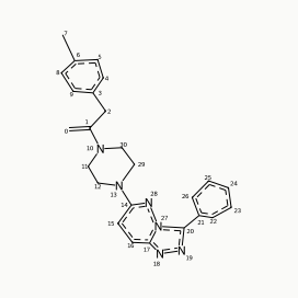 C=C(Cc1ccc(C)cc1)N1CCN(c2ccc3nnc(-c4ccccc4)n3n2)CC1